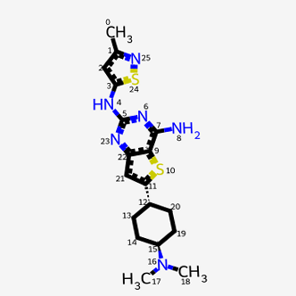 Cc1cc(Nc2nc(N)c3sc([C@H]4CC[C@H](N(C)C)CC4)cc3n2)sn1